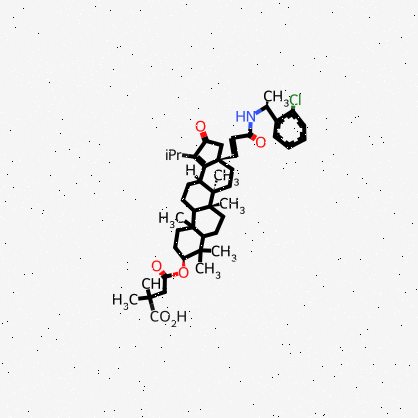 CC(C)C1=C2[C@H]3CCC4C5(C)CC[C@H](OC(=O)CC(C)(C)C(=O)O)C(C)(C)C5CC[C@@]4(C)[C@]3(C)CC[C@@]2(/C=C/C(=O)N[C@H](C)c2ccccc2Cl)CC1=O